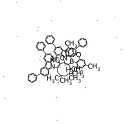 C=C1/C(B2c3c(C)cc(C)cc3Oc3cc(C)cc(C)c32)=C(n2c3ccc(-c4ccccc4)cc3c3cc(-c4ccccc4)ccc32)\C(C#N)=C(\n2c3ccc(-c4ccccc4)cc3c3cc(-c4ccccc4)ccc32)CC(C)(C)CC1(C)C